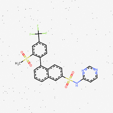 CS(=O)(=O)c1cc(C(F)(F)F)ccc1-c1cccc2cc(S(=O)(=O)Nc3ccncn3)ccc12